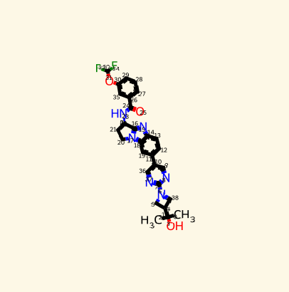 CC(C)(O)C1CN(c2ncc(-c3ccc4nc5n(c4c3)CC[C@H]5NC(=O)c3cccc(OC(F)F)c3)cn2)C1